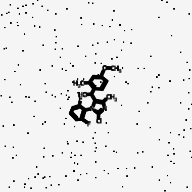 COc1ccc(C(O)c2c(C)nc(Cl)n2-c2c(F)cccc2F)c(C)c1